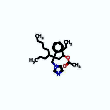 CCCCCC(CCC)C(C[C@@H](CCC)OC(C)=O)(Cn1ccnc1)c1ccccc1